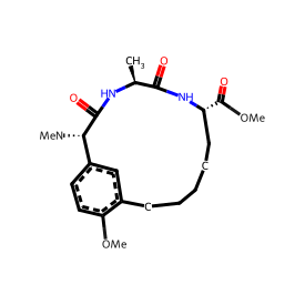 CN[C@@H]1C(=O)N[C@@H](C)C(=O)N[C@H](C(=O)OC)CCCCCc2cc1ccc2OC